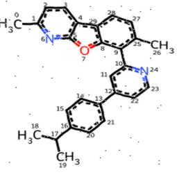 Cc1ccc2c(n1)oc1c(-c3cc(-c4ccc(C(C)C)cc4)ccn3)c(C)ccc12